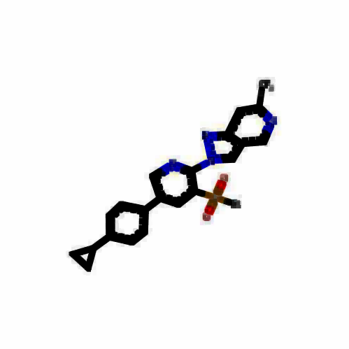 CCS(=O)(=O)c1cc(-c2ccc(C3CC3)cc2)cnc1-n1cc2cnc(C(F)(F)F)cc2n1